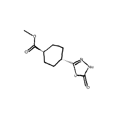 COC(=O)[C@H]1CC[C@H](c2n[nH]c(=O)o2)CC1